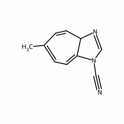 CC1=CC=C2C(C=C1)N=CN2C#N